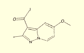 COc1ccn2nc(C)c(C(=O)I)c2c1